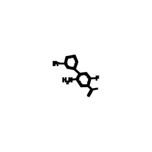 C=C(C)c1cc(N)c(-c2cccc(C(C)C)c2)cc1F